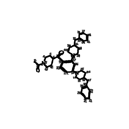 CC(=O)N1CCC(C(=O)c2ccc(N3CCC(Cc4ccccc4)CC3)cc2N2CCC(Cc3ccccc3)CC2)CC1